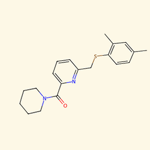 Cc1ccc(SCc2cccc(C(=O)N3CCCCC3)n2)c(C)c1